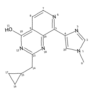 Cn1cnc(-c2nccc3c(O)nc(CC4CC4)nc23)c1